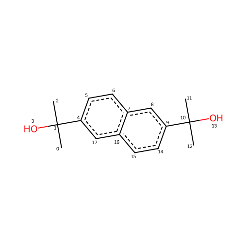 CC(C)(O)c1ccc2cc(C(C)(C)O)ccc2c1